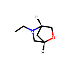 CCN1C[C@@H]2C[C@H]1CO2